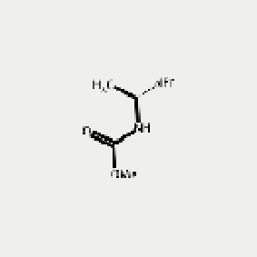 COC(=O)N[C@H](C)C(C)C